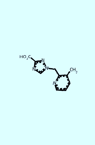 Cc1cccnc1Cn1cnc(C(=O)O)n1